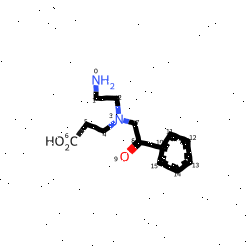 NCCN(CCC(=O)O)CC(=O)c1ccccc1